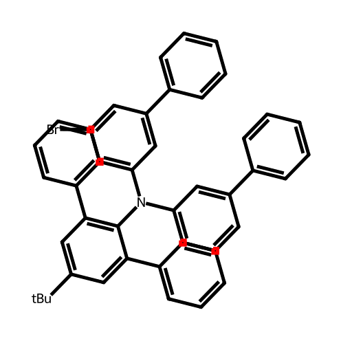 CC(C)(C)c1cc(-c2ccccc2)c(N(c2cccc(-c3ccccc3)c2)c2cc(Br)cc(-c3ccccc3)c2)c(-c2ccccc2)c1